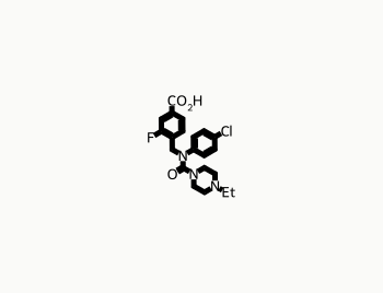 CCN1CCN(C(=O)N(Cc2ccc(C(=O)O)cc2F)c2ccc(Cl)cc2)CC1